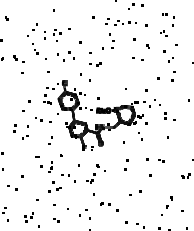 CO[n+]1ccccc1CNC(=O)c1cc(-c2ccc(Cl)cc2)ccc1F